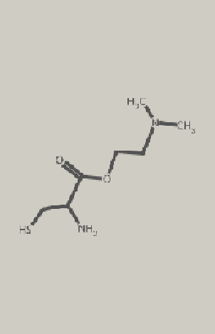 CN(C)CCOC(=O)C(N)CS